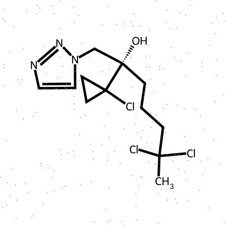 CC(Cl)(Cl)CCC[C@](O)(Cn1ccnn1)C1(Cl)CC1